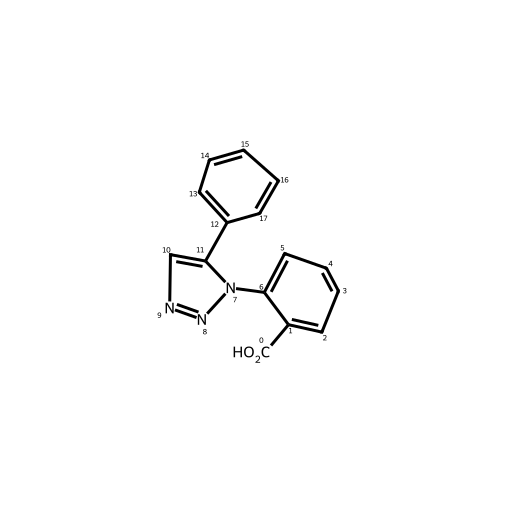 O=C(O)c1ccccc1-n1nncc1-c1ccccc1